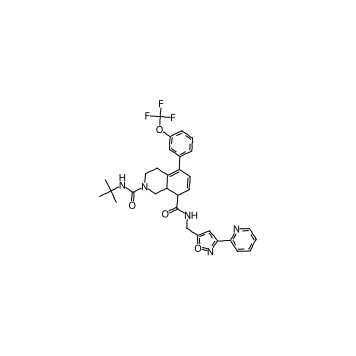 CC(C)(C)NC(=O)N1CCC2=C(c3cccc(OC(F)(F)F)c3)C=CC(C(=O)NCc3cc(-c4ccccn4)no3)C2C1